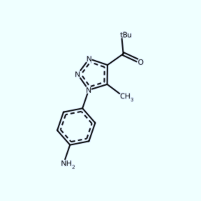 Cc1c(C(=O)C(C)(C)C)nnn1-c1ccc(N)cc1